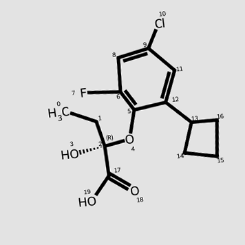 CC[C@@](O)(Oc1c(F)cc(Cl)cc1C1CCC1)C(=O)O